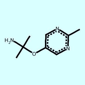 Cc1ncc(OC(C)(C)N)cn1